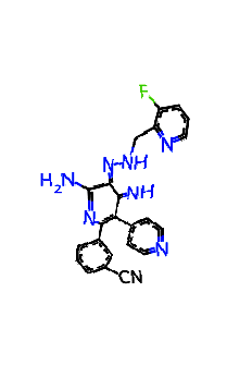 N#Cc1cccc(C2=C(c3ccncc3)C(=N)/C(=N\NCc3ncccc3F)C(N)=N2)c1